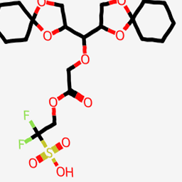 O=C(COC(C1COC2(CCCCC2)O1)C1COC2(CCCCC2)O1)OCC(F)(F)S(=O)(=O)O